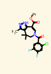 CC(C)OC(=O)C1=CN(C(=O)c2cc(F)c(F)cc2Cl)CC(C)(C)c2c(C(F)(F)F)n[nH]c21